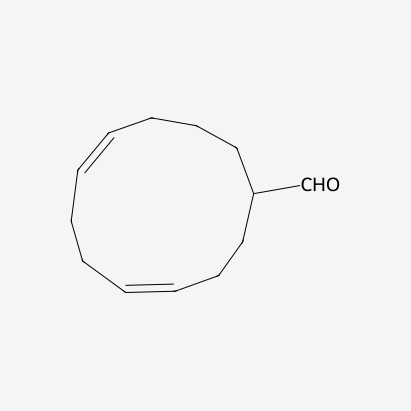 O=CC1CC/C=C\CC/C=C\CCC1